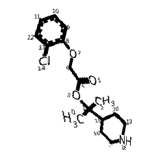 CC(C)(OC(=O)COc1ccccc1Cl)C1CCNCC1